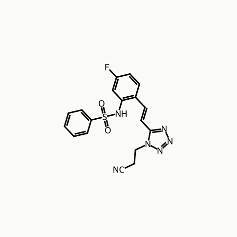 N#CCCn1nnnc1C=Cc1ccc(F)cc1NS(=O)(=O)c1ccccc1